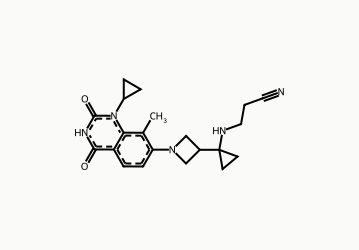 Cc1c(N2CC(C3(NCCC#N)CC3)C2)ccc2c(=O)[nH]c(=O)n(C3CC3)c12